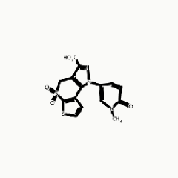 Cn1cc(-n2nc(C(=O)O)c3c2-c2ccsc2S(=O)(=O)C3)ccc1=O